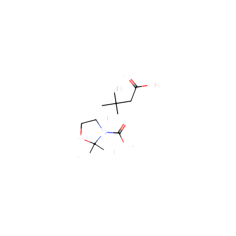 CC(C)(CC(=O)O)C[C@H]1COC(C)(C)N1C(=O)O